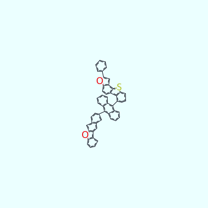 c1ccc(-c2cc3c(ccc4c3sc3cccc(-c5c6ccccc6c(-c6ccc7cc8oc9ccccc9c8cc7c6)c6ccccc56)c34)o2)cc1